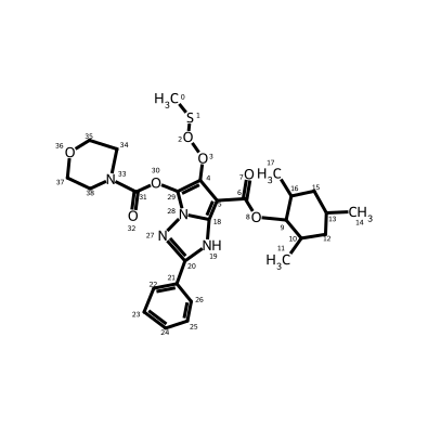 CSOOc1c(C(=O)OC2C(C)CC(C)CC2C)c2[nH]c(-c3ccccc3)nn2c1OC(=O)N1CCOCC1